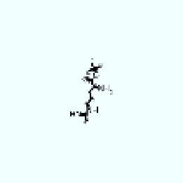 CC(=N)NCCCC(N)C(=O)OC(C)(C)C